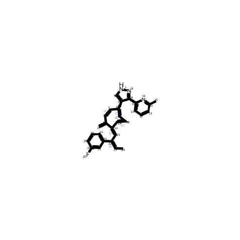 C=C1\C=C/C(c2c[nH]nc2-c2cccc(C)n2)=C/C=C/C1=C/C(=C\C)c1cccc(F)c1